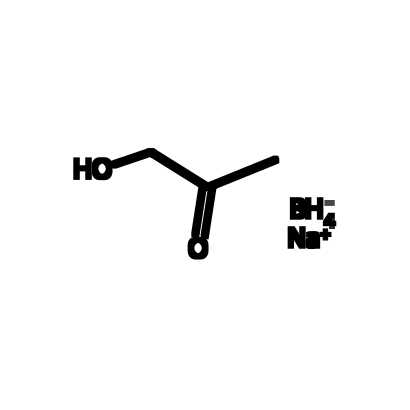 CC(=O)CO.[BH4-].[Na+]